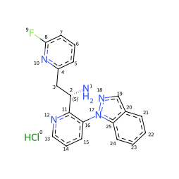 Cl.N[C@@H](Cc1cccc(F)n1)c1ncccc1-n1ncc2ccccc21